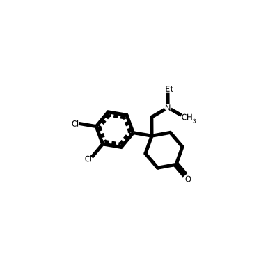 CCN(C)CC1(c2ccc(Cl)c(Cl)c2)CCC(=O)CC1